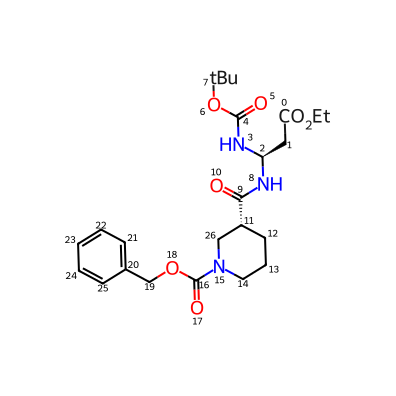 CCOC(=O)C[C@H](NC(=O)OC(C)(C)C)NC(=O)[C@@H]1CCCN(C(=O)OCc2ccccc2)C1